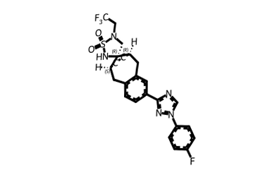 O=S1(=O)N[C@@]2(CN1CC(F)(F)F)[C@@H]1CC[C@H]2Cc2ccc(-c3ncn(-c4ccc(F)cc4)n3)cc2C1